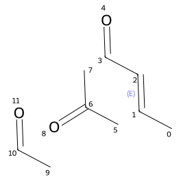 C/C=C/C=O.CC(C)=O.CC=O